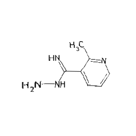 Cc1ncccc1C(=N)NN